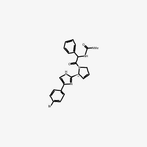 CNC(=O)NC(C(=O)N1CC=C[C@H]1c1nc(-c2ccc(Br)cc2)c[nH]1)c1ccccc1